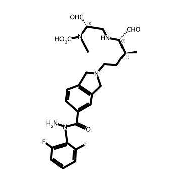 C[C@@H](CCN1Cc2ccc(C(=O)N(N)c3c(F)cccc3F)cc2C1)[C@@H](C=O)NC[C@@H](C=O)N(C)C(=O)O